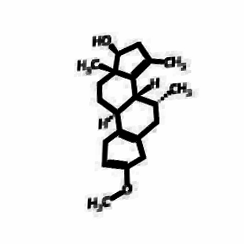 COC1=CCC2=C(C1)C[C@@H](C)[C@H]1C3=C(C)C[C@H](O)[C@@]3(C)CC[C@H]21